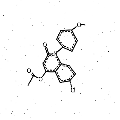 COc1ccc(-n2c(=O)cc(OC(C)=O)c3cc(Cl)ccc32)cc1